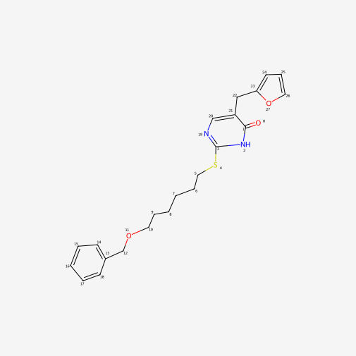 O=c1[nH]c(SCCCCCCOCc2ccccc2)ncc1Cc1ccco1